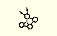 N#Cc1cc2c(cc1C#N)-n1c3ccccc3c3cccc(c31)-c1ccccc1-2